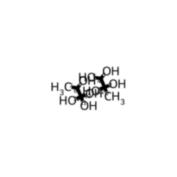 CC(O)(O)C(O)O.CC(O)C(O)(O)O